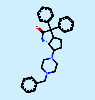 NC(=O)C(c1ccccc1)(c1ccccc1)C1CCC(N2CCN(Cc3ccccc3)CC2)C1